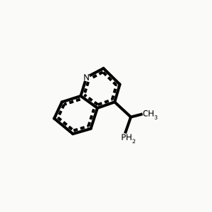 CC(P)c1ccnc2ccccc12